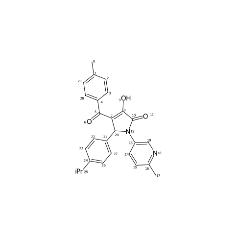 Cc1ccc(C(=O)C2=C(O)C(=O)N(c3ccc(C)nc3)C2c2ccc(C(C)C)cc2)cc1